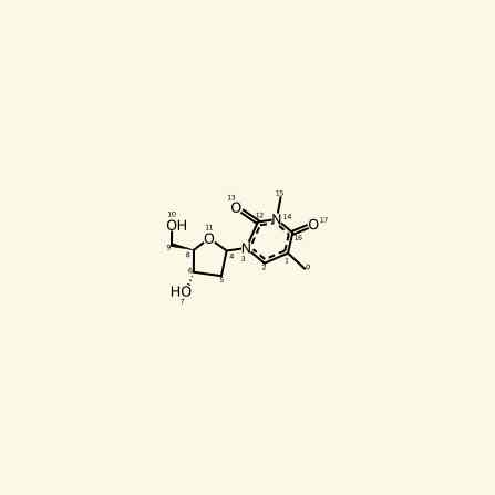 Cc1cn(C2C[C@H](O)[C@@H](CO)O2)c(=O)n(C)c1=O